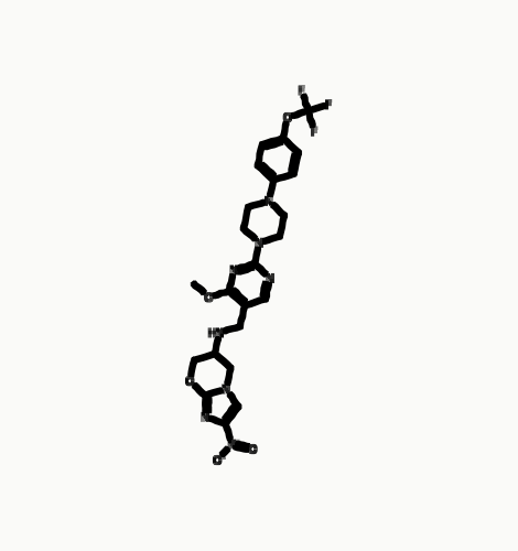 COc1nc(N2CCN(c3ccc(OC(F)(F)F)cc3)CC2)ncc1CNC1COc2nc([N+](=O)[O-])cn2C1